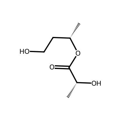 C[C@@H](CCO)OC(=O)[C@@H](C)O